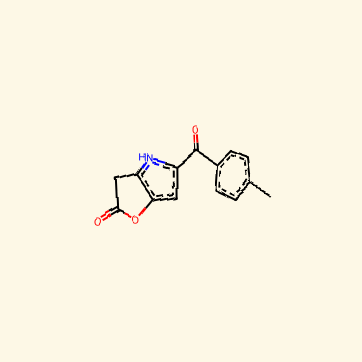 Cc1ccc(C(=O)c2cc3c([nH]2)CC(=O)O3)cc1